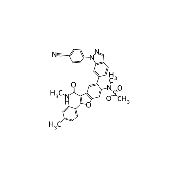 CNC(=O)c1c(-c2ccc(C)cc2)oc2cc(N(C)S(C)(=O)=O)c(-c3ccc4cnn(-c5ccc(C#N)cc5)c4c3)cc12